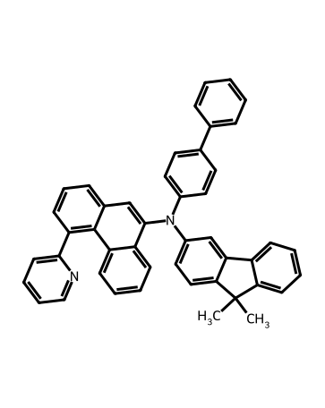 CC1(C)c2ccccc2-c2cc(N(c3ccc(-c4ccccc4)cc3)c3cc4cccc(-c5ccccn5)c4c4ccccc34)ccc21